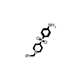 C[C](C)CN1CCC(S(=O)(=O)c2ccc(N)cc2)CC1